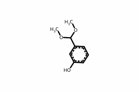 COC(OC)c1cccc(O)c1